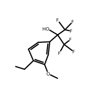 CCc1ccc(C(O)(C(F)(F)F)C(F)(F)F)cc1OC